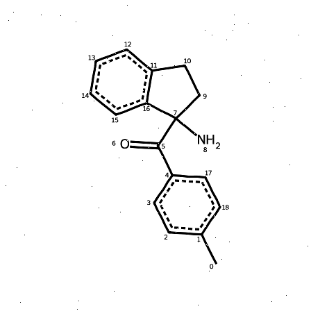 Cc1ccc(C(=O)C2(N)CCc3ccccc32)cc1